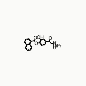 CC(C)NCC(=O)c1ccc(OC(=O)c2cccc3ccccc23)c(O)c1